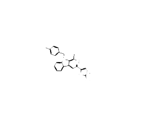 Cc1ccc(Cn2c3ccccc3c3cc(-c4cnc(C(=O)O)o4)nc(C)c32)cc1